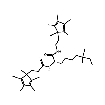 CCC(C)(C)CCCC[C@H](NC(=O)CCC1(C)C(C)=C(C)C(C)=C1C)C(=O)NCCC1(C)C(C)=C(C)C(C)=C1C